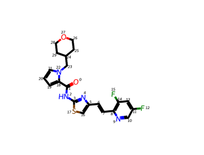 O=C(Nc1nc(C=Cc2ncc(F)cc2F)cs1)c1cccn1CC1CCOCC1